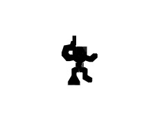 CCCN(CC1CC1)c1c(CC)nn2c(I)cccc12